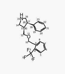 FC(F)(F)c1ccccc1COC[C@H]1CNC[C@H]1c1ccccc1